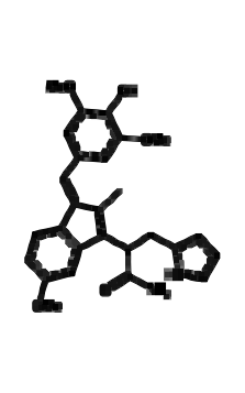 COc1ccc2c(c1)C(C(Cc1ccc[nH]1)C(N)=O)=C(C)C2=Cc1cc(OC)c(O)c(OC)c1